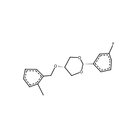 Cc1ccccc1CO[C@H]1CO[C@@H](c2cccc(F)c2)OC1